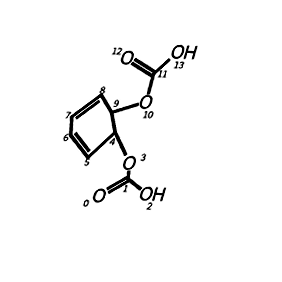 O=C(O)OC1C=CC=CC1OC(=O)O